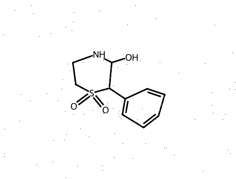 O=S1(=O)CCNC(O)C1c1ccccc1